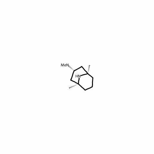 CN[C@H]1C[C@]2(C)CCC[C@](C)(C1)N2